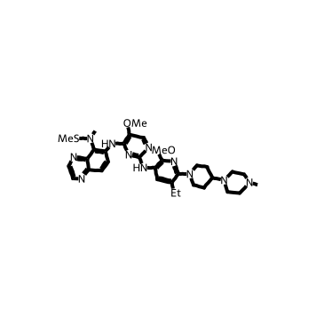 CCc1cc(Nc2ncc(OC)c(Nc3ccc4nccnc4c3N(C)SC)n2)c(OC)nc1N1CCC(N2CCN(C)CC2)CC1